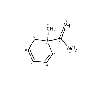 [CH2]C1(C(=N)N)C=CC=CC1